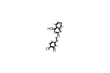 Oc1nc(OCCc2ccc(Cl)c(Cl)c2)nc2cnccc12